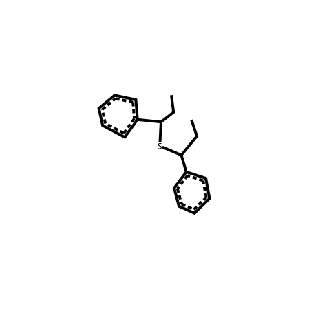 CCC(SC(CC)c1ccccc1)c1ccccc1